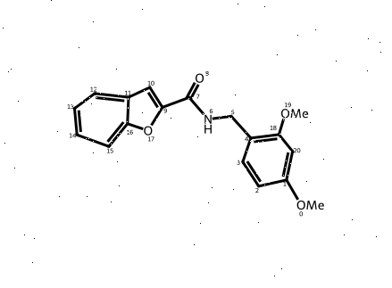 COc1ccc(CNC(=O)c2cc3ccccc3o2)c(OC)c1